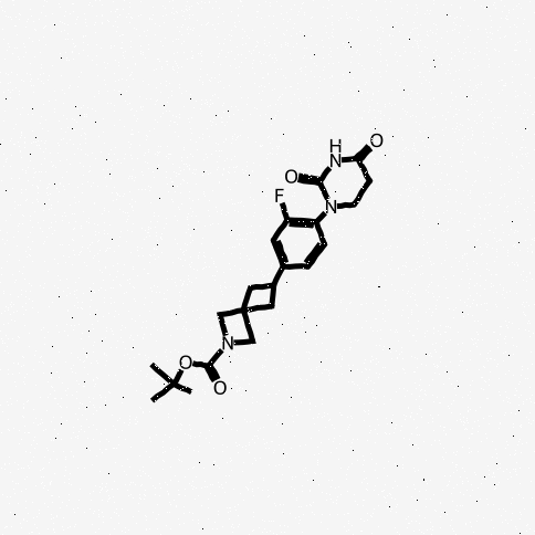 CC(C)(C)OC(=O)N1CC2(CC(c3ccc(N4CCC(=O)NC4=O)c(F)c3)C2)C1